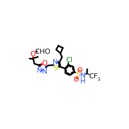 C[C@H](NS(=O)(=O)c1ccc(-c2sc(-c3nnc(CC(C)(C)OC=O)o3)nc2CC2CCC2)c(Cl)c1)C(F)(F)F